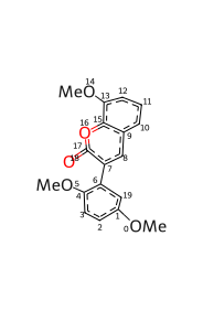 COc1ccc(OC)c(-c2cc3cccc(OC)c3oc2=O)c1